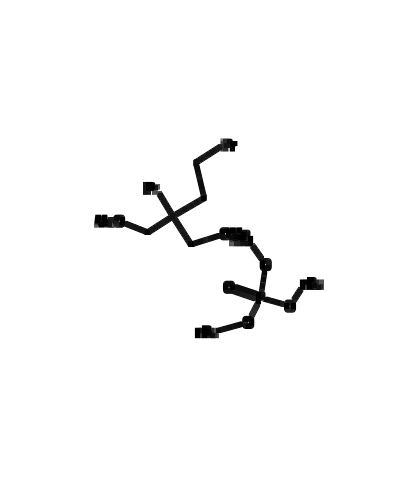 CCCCOP(=O)(OCCCC)OCCCC.COCC(CCC(C)C)(COC)C(C)C